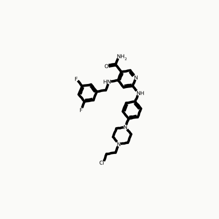 NC(=O)c1cnc(Nc2ccc(N3CCN(CCCl)CC3)cc2)cc1NCc1cc(F)cc(F)c1